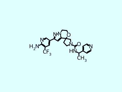 CC(NC(=O)N1CCC2(C1)OCCn1nc(-c3cnc(N)c(C(F)(F)F)c3)cc12)c1ccncc1